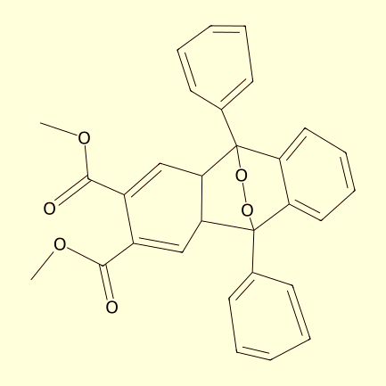 COC(=O)C1=CC2C(C=C1C(=O)OC)C1(c3ccccc3)OOC2(c2ccccc2)c2ccccc21